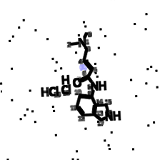 CN(C)C/C=C/C(=O)Nc1cccc2c1CNC2.Cl.Cl